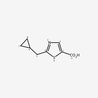 O=C(O)c1cnc(CC2CC2)s1